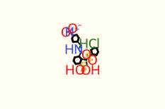 Cl.O=[N+]([O-])c1ccc(CNCc2cccc3c2C(S(=O)(=O)c2ccccc2)CS3(O)O)cc1